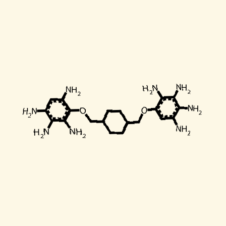 Nc1cc(OCC2CCC(COc3c(N)cc(N)c(N)c3N)CC2)c(N)c(N)c1N